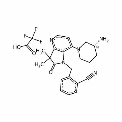 CC1(C)C(=O)N(Cc2ccccc2C#N)c2c(N3CCC[C@@H](N)C3)ccnc21.O=C(O)C(F)(F)F